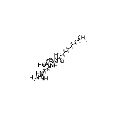 CCCCCCCCCCCC(=O)NCC(=O)N[C@@H](CCCNC(=N)N)C(=O)O